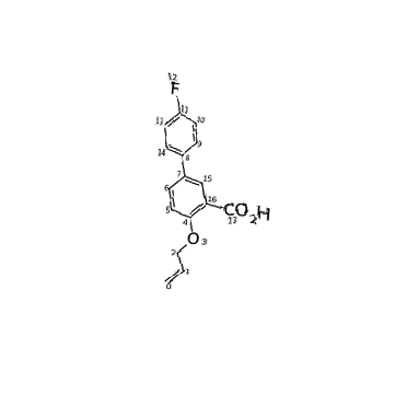 C=CCOc1ccc(-c2ccc(F)cc2)cc1C(=O)O